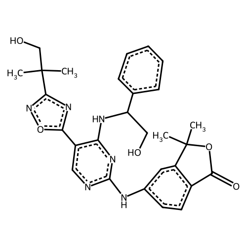 CC(C)(CO)c1noc(-c2cnc(Nc3ccc4c(c3)C(C)(C)OC4=O)nc2NC(CO)c2ccccc2)n1